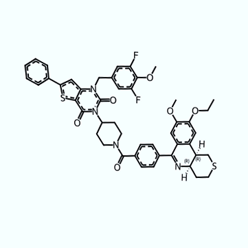 CCOc1cc2c(cc1OC)C(c1ccc(C(=O)N3CCC(n4c(=O)c5sc(-c6ccccc6)cc5n(Cc5cc(F)c(OC)c(F)c5)c4=O)CC3)cc1)=N[C@@H]1CCSC[C@H]21